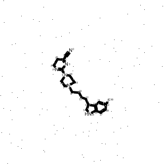 N#CC1=NC(N2CCN(CCCCC3CNc4ccc(F)cc43)CC2)=NCC1